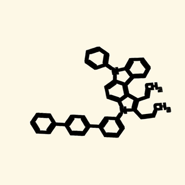 C=Cc1c(/C=C\C)n(-c2cccc(-c3ccc(-c4ccccc4)cc3)c2)c2ccc3c(c4ccccc4n3-c3ccccc3)c12